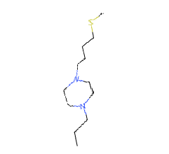 [CH2]SCCCCN1CCN(CCC)CC1